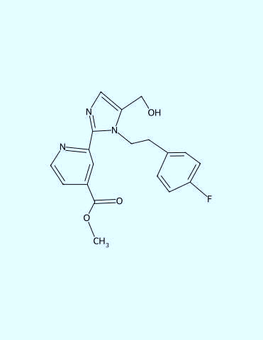 COC(=O)c1ccnc(-c2ncc(CO)n2CCc2ccc(F)cc2)c1